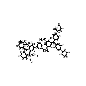 Cc1cc(-c2cc3c4c(c2)C(C)(C)c2ccccc2N4c2ccccc2C3(C)C)ccc1-c1ccc(N(c2ccc(-c3ccccc3)cc2)c2ccc(-c3ccccc3)cc2)cc1C